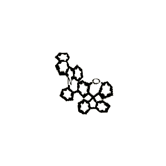 c1ccc2c(c1)Oc1ccc(-c3ccccc3-n3c4ccccc4c4c5ccccc5ccc43)cc1C21c2ccccc2-c2ccccc21